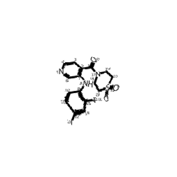 O=C(c1ccncc1Nc1ccc(I)cc1F)N1CCS(=O)(=O)CC1